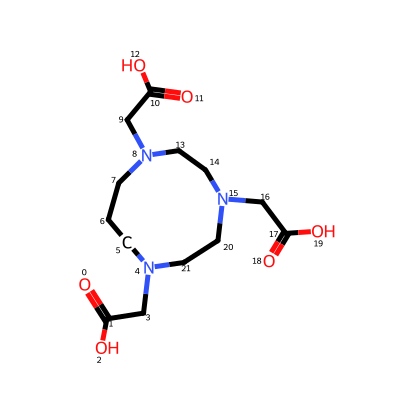 O=C(O)CN1CCCN(CC(=O)O)CCN(CC(=O)O)CC1